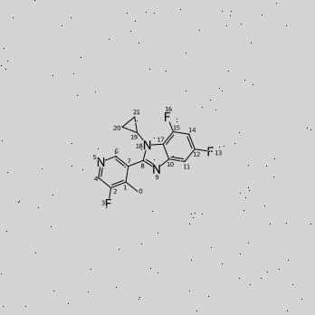 Cc1c(F)cncc1-c1nc2cc(F)cc(F)c2n1C1CC1